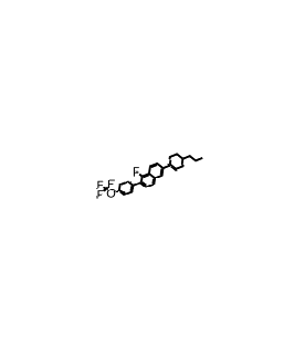 CCCC1CCC(c2ccc3c(F)c(-c4ccc(OC(F)(F)F)cc4)ccc3c2)CC1